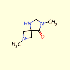 CN1CC2(C1)NCN(C)C2=O